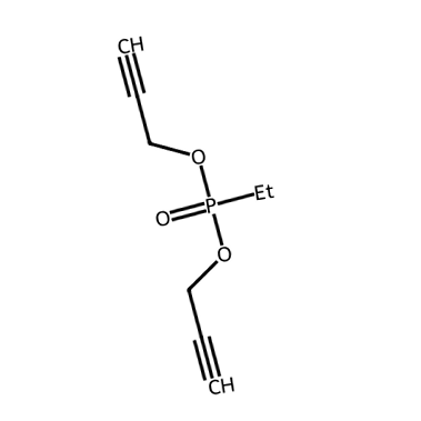 C#CCOP(=O)(CC)OCC#C